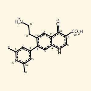 Cc1cc(-c2cc3[nH]cc(C(=O)O)c(=O)c3cc2CCN)cc(C)n1